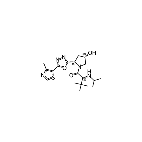 Cc1ncsc1-c1nnc([C@@H]2C[C@@H](O)CN2C(=O)[C@@H](NC(C)C)C(C)(C)C)o1